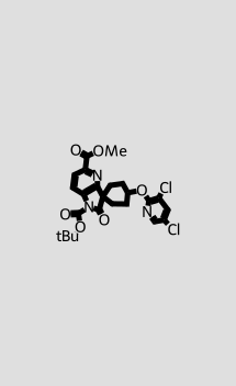 COC(=O)c1ccc2c(n1)C1(CCC(Oc3ncc(Cl)cc3Cl)CC1)C(=O)N2C(=O)OC(C)(C)C